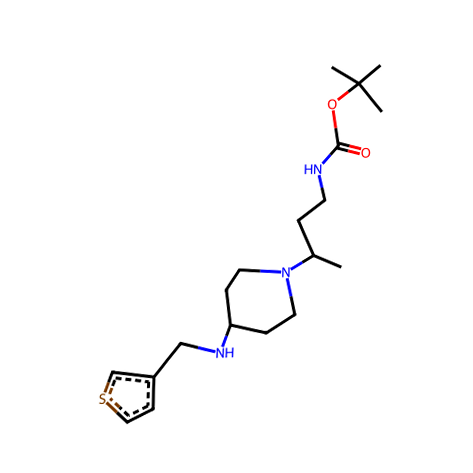 CC(CCNC(=O)OC(C)(C)C)N1CCC(NCc2ccsc2)CC1